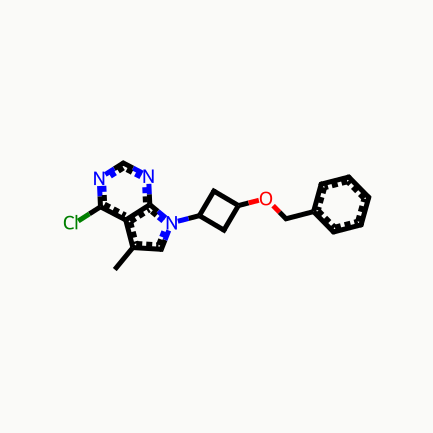 Cc1cn(C2CC(OCc3ccccc3)C2)c2ncnc(Cl)c12